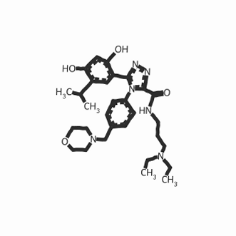 CCN(CC)CCCNC(=O)c1nnc(-c2cc(C(C)C)c(O)cc2O)n1-c1ccc(CN2CCOCC2)cc1